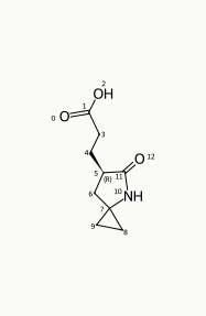 O=C(O)CC[C@@H]1CC2(CC2)NC1=O